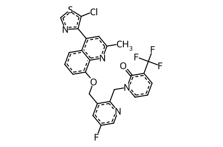 Cc1cc(-c2ncsc2Cl)c2cccc(OCc3cc(F)cnc3Cn3cccc(C(F)(F)F)c3=O)c2n1